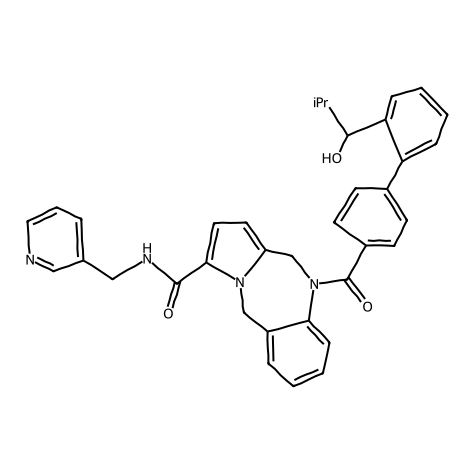 CC(C)C(O)c1ccccc1-c1ccc(C(=O)N2Cc3ccc(C(=O)NCc4cccnc4)n3Cc3ccccc32)cc1